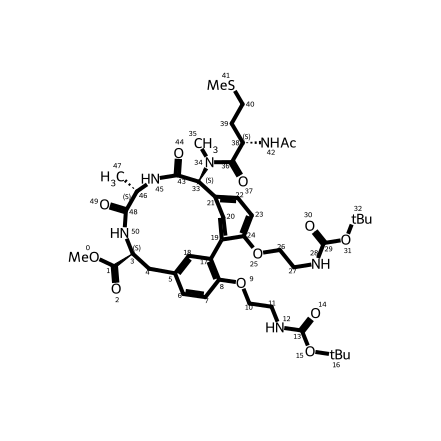 COC(=O)[C@@H]1Cc2ccc(OCCNC(=O)OC(C)(C)C)c(c2)-c2cc(ccc2OCCNC(=O)OC(C)(C)C)[C@H](N(C)C(=O)[C@H](CCSC)NC(C)=O)C(=O)N[C@@H](C)C(=O)N1